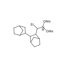 CCC(C1C2CCC(C2)C1C1CC2CCC1C2)[SiH](OC)OC